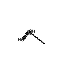 CCCCCCCCCCCCCCCOP(O)Oc1ccc(C(C)(C)c2ccc(O)cc2)cc1